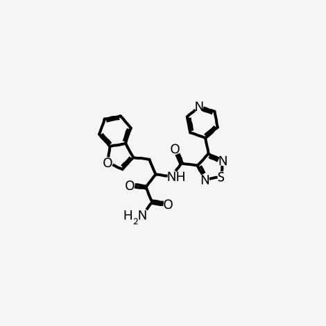 NC(=O)C(=O)C(Cc1coc2ccccc12)NC(=O)c1nsnc1-c1ccncc1